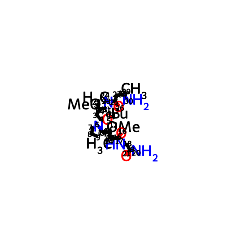 CC[C@H](C)[C@@H]([C@@H](CC(=O)N1CCC[C@H]1[C@H](OC)[C@@H](C)C(=O)NCC(N)=O)OC)N(C)C(=O)C[C@H](C)N